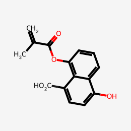 C=C(C)C(=O)Oc1cccc2c(O)ccc(C(=O)O)c12